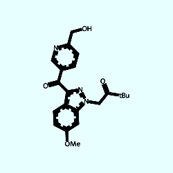 COc1ccc2c(C(=O)c3ccc(CO)nc3)nn(CC(=O)C(C)(C)C)c2c1